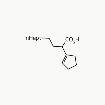 CCCCCCCCCC(C(=O)O)C1=CCCC1